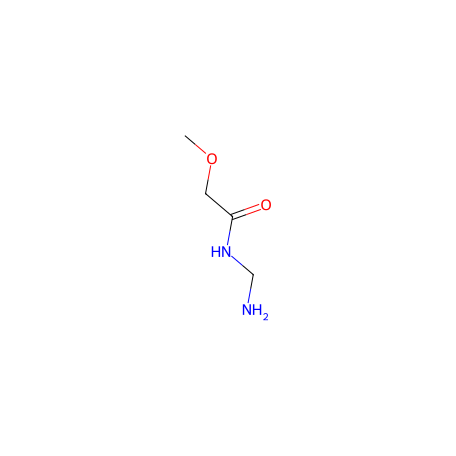 COCC(=O)NCN